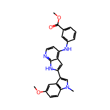 COC(=O)c1cccc(Nc2ccnc3[nH]c(-c4cn(C)c5ccc(OC)cc45)cc23)c1